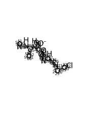 O=[N+]([O-])c1cc(S(=O)(=O)Nc2ncnc3cc(N4CCN(Cc5ccccc5-c5ccc(Cl)cc5)CC4)ccc23)ccc1NC(CCNCc1ccccn1)CSc1ccccc1